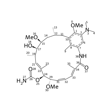 COc1c(N(C)C)cc2c(C)c1C[C@@H](C)C[C@H](OC)[C@H](O)[C@@H](C)/C=C(\C)[C@H](OC(N)=O)[C@@H](OC)/C=C\C=C(/C)C(=O)N2